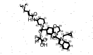 CN(C)CC=CC(=O)NC1CCCN(C(=O)c2cc3c4c(c2)nc(-c2cc5ccccc5n2CC2CC2)n4CCO3)C1.O=C(O)C(F)(F)F